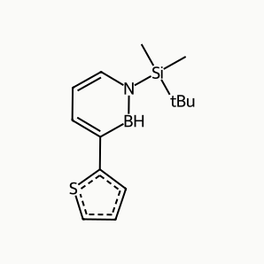 CC(C)(C)[Si](C)(C)N1BC(c2cccs2)=CC=C1